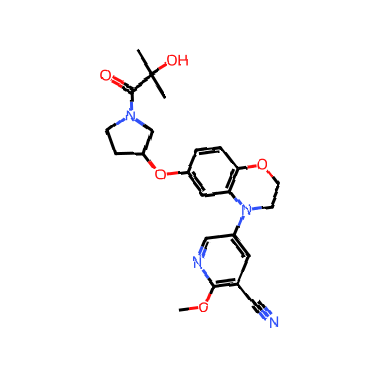 COc1ncc(N2CCOc3ccc(OC4CCN(C(=O)C(C)(C)O)C4)cc32)cc1C#N